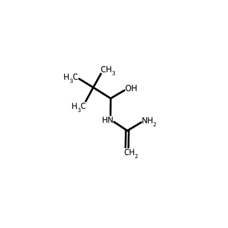 C=C(N)NC(O)C(C)(C)C